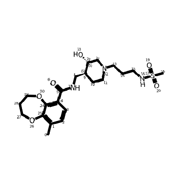 Cc1ccc(C(=O)NC[C@@H]2CCN(CCCNS(C)(=O)=O)C[C@H]2O)c2c1OCCCO2